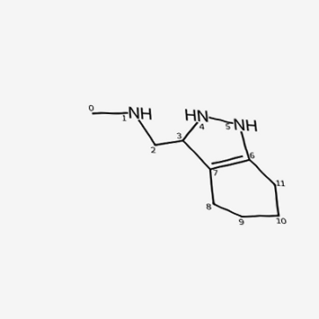 CNCC1NNC2=C1CCCC2